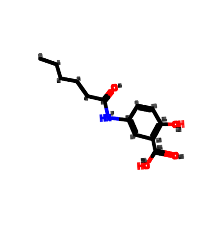 CCCCCC(=O)Nc1ccc(O)c(C(=O)O)c1